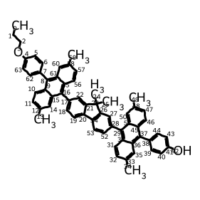 CCCOc1ccc(-c2c3ccc(C)cc3c(-c3ccc4c(c3)C(C)(C)c3cc(-c5c6ccc(C)cc6c(-c6ccc(O)cc6)c6ccc(C)cc56)ccc3-4)c3ccc(C)cc23)cc1